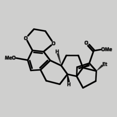 CC[C@@]12CCC3(C=C1C(=O)OC)[C@@H]1CCc4cc(OC)c5c(c4[C@H]1CC[C@@]32C)OCCO5